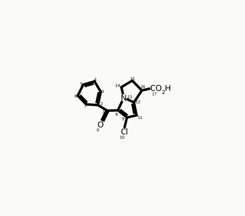 O=C(c1ccccc1)c1c(Cl)cc2n1CCC2C(=O)O